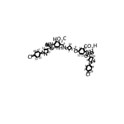 O=C(O)c1cc(CN[C@H]2C[C@@H](COc3ccc(NS(=O)(=O)c4cnn(-c5ccc(Cl)cc5)c4)c(C(=O)O)c3)C2)ccc1NS(=O)(=O)c1cnn(-c2ccc(Cl)cc2)c1